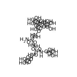 C[C@@H]1C[C@@H](OCCNC(=O)CN(CC(=O)NCCO[C@@H]2O[C@@H](C)[C@@H](O)[C@H](O)[C@@H]2O)CC(=O)NNC(=O)CN(CC(N)=O)CC(=O)NNCCO[C@H]2O[C@H](CO[C@H]3O[C@H](CO)[C@@H](O)[C@H](O)[C@@H]3O)[C@@H](O)[C@H](O[C@H]3O[C@H](CO)[C@@H](O)[C@H](O)[C@@H]3O)[C@@H]2O)[C@@H](O)[C@H](O)[C@@H]1O